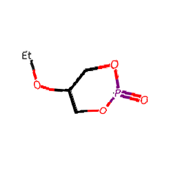 CCOC1CO[P](=O)OC1